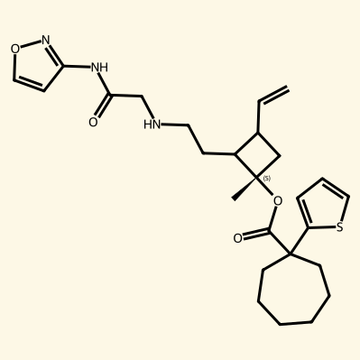 C=CC1C[C@](C)(OC(=O)C2(c3cccs3)CCCCCC2)C1CCNCC(=O)Nc1ccon1